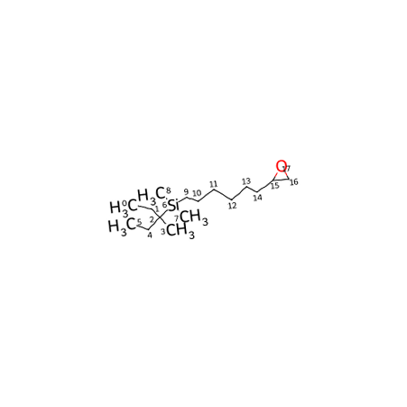 CCC(C)(CC)[Si](C)(C)CCCCCCC1CO1